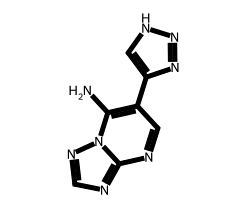 Nc1c(-c2c[nH]nn2)cnc2ncnn12